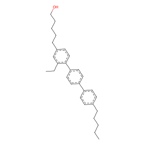 CCCCCc1ccc(-c2ccc(-c3ccc(CCCCCO)cc3CC)cc2)cc1